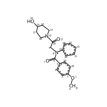 COc1ccc(C(=O)N(CC(=O)N2CCC(O)CC2)c2ccccc2)cc1